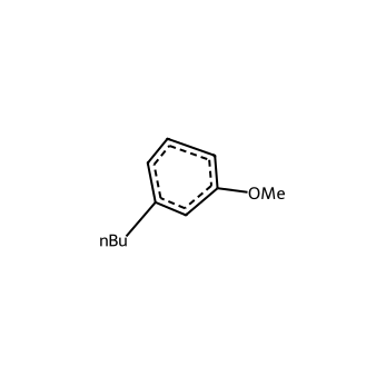 [CH2]CCCc1cccc(OC)c1